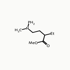 CCC(CCN(C)P)C(=O)OC